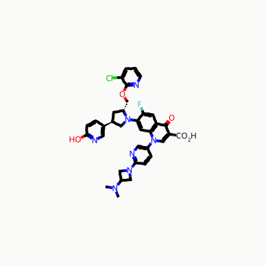 CN(C)C1CN(c2ccc(-n3cc(C(=O)O)c(=O)c4cc(F)c(N5C[C@@H](c6ccc(O)nc6)C[C@@H]5COc5ncccc5Cl)cc43)cn2)C1